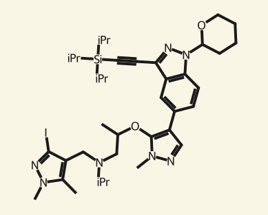 Cc1c(CN(CC(C)Oc2c(-c3ccc4c(c3)c(C#C[Si](C(C)C)(C(C)C)C(C)C)nn4C3CCCCO3)cnn2C)C(C)C)c(I)nn1C